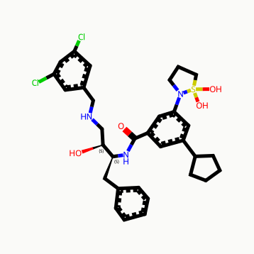 O=C(N[C@@H](Cc1ccccc1)[C@@H](O)CNCc1cc(Cl)cc(Cl)c1)c1cc(C2CCCC2)cc(N2CCCS2(O)O)c1